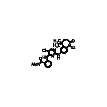 CCN1C(=O)CCC(C)(C)c2cc(Nc3ncc(Cl)c(Nc4ccccc4C(=O)NC)n3)ccc21